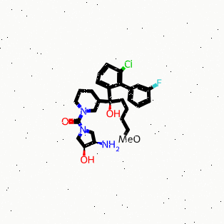 COCCCC[C@@](O)(c1cccc(Cl)c1-c1cccc(F)c1)C1CCCN(C(=O)N2C[C@@H](N)[C@@H](O)C2)C1